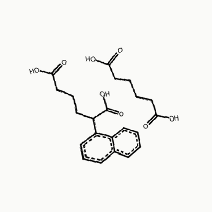 O=C(O)CCCC(C(=O)O)c1cccc2ccccc12.O=C(O)CCCCC(=O)O